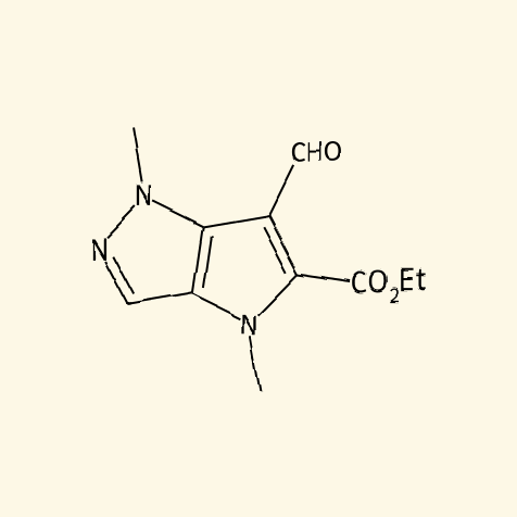 CCOC(=O)c1c(C=O)c2c(cnn2C)n1C